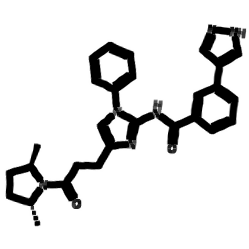 C[C@@H]1CC[C@@H](C)N1C(=O)CCc1cn(-c2ccccc2)c(NC(=O)c2cccc(-c3cn[nH]c3)c2)n1